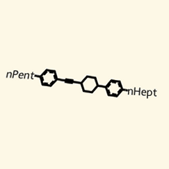 CCCCCCCc1ccc(C2CCC(C#Cc3ccc(CCCCC)cc3)CC2)cc1